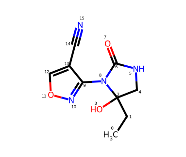 CCC1(O)CNC(=O)N1c1nocc1C#N